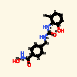 Cc1cccc(O)c1NC(=O)NCc1ccc(C(=O)NO)cc1